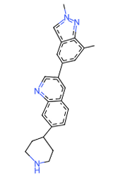 Cc1cc(-c2cnc3cc(C4CCNCC4)ccc3c2)cc2cn(C)nc12